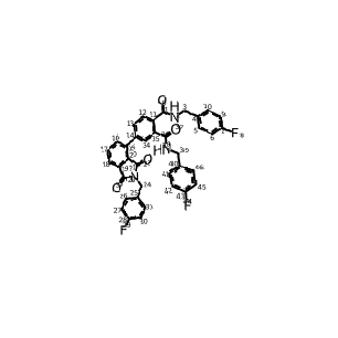 O=C(NCc1ccc(F)cc1)c1ccc(-c2cccc3c2C(=O)N(Cc2ccc(F)cc2)C3=O)cc1C(=O)NCc1ccc(F)cc1